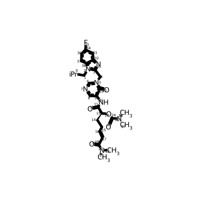 CC(C)Cn1c(Cn2cncc(NC(=O)[C@H](CC/C=C/C(=O)N(C)C)OC(=O)N(C)C)c2=O)nc2cc(F)ccc21